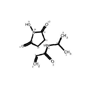 C=CC(=O)NC(C)C.O=C1CCC(=O)N1O